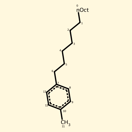 CCCCCCCCCCCCCCc1ccc(C)cc1